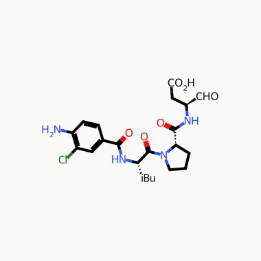 CCC(C)[C@H](NC(=O)c1ccc(N)c(Cl)c1)C(=O)N1CCC[C@H]1C(=O)N[C@H](C=O)CC(=O)O